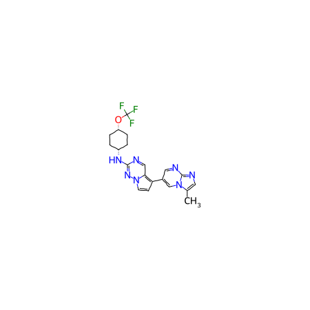 Cc1cnc2ncc(-c3ccn4nc(N[C@H]5CC[C@@H](OC(F)(F)F)CC5)ncc34)cn12